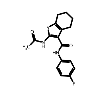 O=C(Nc1ccc(F)cc1)c1c(NC(=O)C(F)(F)F)sc2c1CCCC2